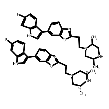 CC1CN(CCc2nc3ccc(-c4c[nH]c5cc(F)ccc45)cc3o2)C(C)CN1.C[C@@H]1CN(CCc2nc3ccc(-c4c[nH]c5cc(F)ccc45)cc3o2)C[C@@H](C)N1